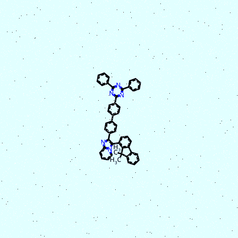 CC1(C)c2ccccc2-c2cccc(-c3c(-c4ccc(-c5ccc(-c6nc(-c7ccccc7)nc(-c7ccccc7)n6)cc5)cc4)nc4ccccn34)c21